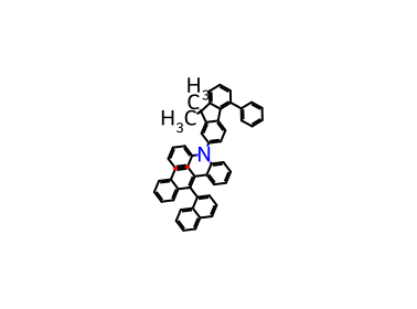 CC1(C)c2cc(N(c3ccccc3)c3ccccc3-c3ccc4ccccc4c3-c3cccc4ccccc34)ccc2-c2c(-c3ccccc3)cccc21